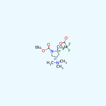 CC(C)(C)OC(=O)N1C[C@@H]([N+](C)(C)C)C[C@@H]1C(=O)O.O=C([O-])C(F)(F)F